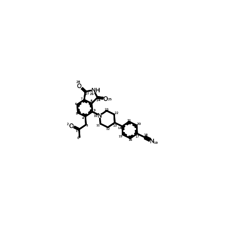 CC(=O)Cc1ccc2c(c1N1CCC(c3ccc(C#N)cc3)CC1)C(=O)NC2=O